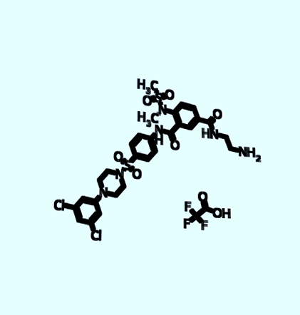 CN(c1ccc(C(=O)NCCN)cc1C(=O)Nc1ccc(S(=O)(=O)N2CCN(c3cc(Cl)cc(Cl)c3)CC2)cc1)S(C)(=O)=O.O=C(O)C(F)(F)F